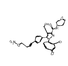 O=C(NN1CCOCC1)c1nn(-c2ccc(Cl)cc2Cl)c(-c2ccc(C#CCCO[N+](=O)[O-])cc2)c1CO